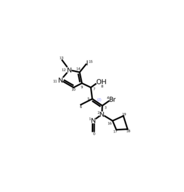 C=NN(/C(Br)=C(\C)C(O)c1cnn(C)c1I)C1CCC1